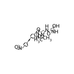 CC(C)C(=O)N1C[C@H](NC(=O)[C@@H]2C[C@@H](O)CN2)C[C@@H]1C(=O)NCc1ccc(C#Cc2ccc(CN3CCOCC3)cc2)cc1